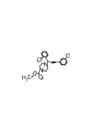 CCOC(=O)N1CCN(C(C#Cc2cccc(Cl)c2)c2ccccc2Cl)CC1